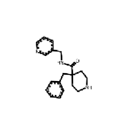 O=C(NCc1cccnc1)C1(Cc2ccccc2)CCNCC1